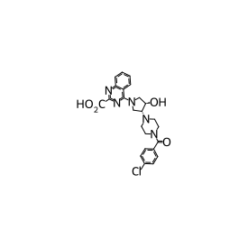 O=C(O)c1nc(N2C[C@@H](O)[C@H](N3CCN(C(=O)c4ccc(Cl)cc4)CC3)C2)c2ccccc2n1